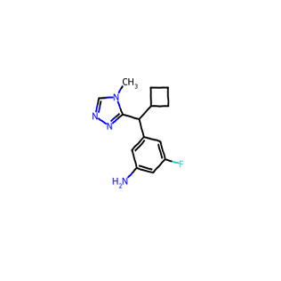 Cn1cnnc1C(c1cc(N)cc(F)c1)C1CCC1